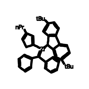 CCCC1=CC[C]([Zr](=[C](c2ccccc2)c2ccccc2)[CH]2c3cc(C(C)(C)C)ccc3-c3ccc(C(C)(C)C)cc32)=C1